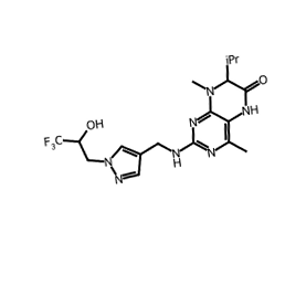 Cc1nc(NCc2cnn(CC(O)C(F)(F)F)c2)nc2c1NC(=O)C(C(C)C)N2C